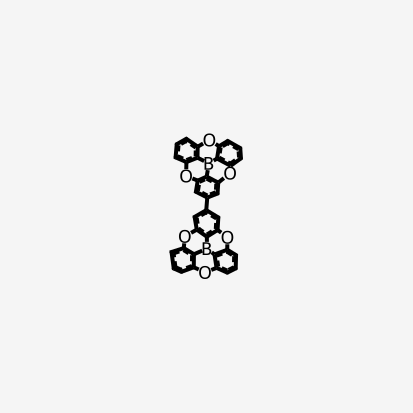 c1cc2c3c(c1)Oc1cc(-c4cc5c6c(c4)Oc4cccc7c4B6c4c(cccc4O5)O7)cc4c1B3c1c(cccc1O4)O2